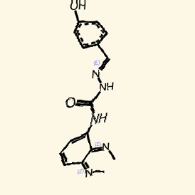 C/N=C1/C=CC=C(NC(=O)N/N=C/c2ccc(O)cc2)/C1=N/C